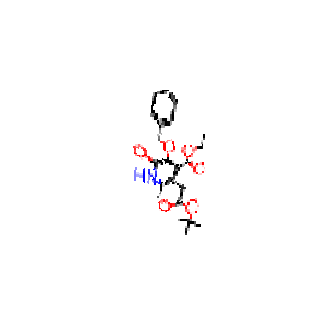 CCOC(=O)c1c(CC(=O)OC(C)(C)C)c(C)[nH]c(=O)c1OCc1ccccc1